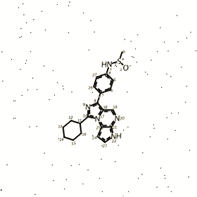 C[S+]([O-])Nc1ccc(-c2nc(C3CCCCC3)n3c2cnc2[nH]ccc23)cc1